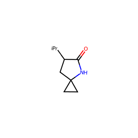 CC(C)C1CC2(CC2)NC1=O